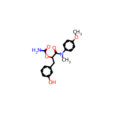 COc1ccc(N(C)C(=O)C(Cc2cccc(O)c2)OC(N)=O)cc1